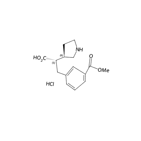 COC(=O)c1cccc(C[C@H](C(=O)O)[C@H]2CCNC2)c1.Cl